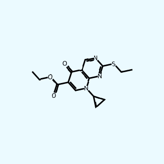 CCOC(=O)c1cn(C2CC2)c2nc(SCC)ncc2c1=O